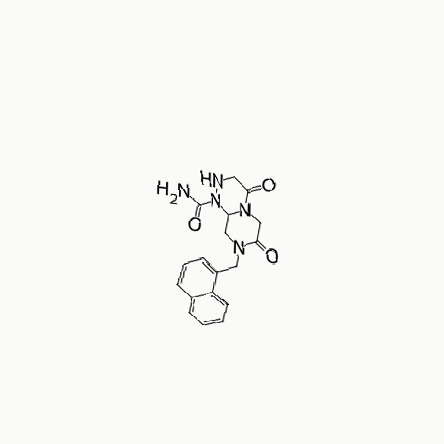 NC(=O)N1NCC(=O)N2CC(=O)N(Cc3cccc4ccccc34)CC21